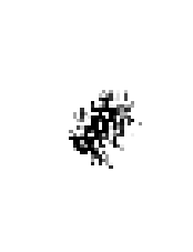 CC(=O)c1ccc(O)c2c1[C@H](C)[C@@H]1C(=C(O)[C@]3(O)C(=O)C(C(N)=O)=C(O)[C@@H](N(C)C)[C@@H]3[C@H]1O)C2=O